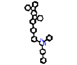 C1=C(c2ccc3c(c2)C2(CCCCC2)c2cc4c(cc2-3)C2(CCCCC2)c2ccccc2-4)CCC(c2cccc(-c3cc(-c4ccc(-c5ccccc5)cc4)nc(-c4ccccc4)n3)c2)C1